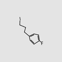 Fc1ccc(CCCI)cc1